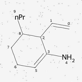 C=CC1C(N)=CCCC1CCC